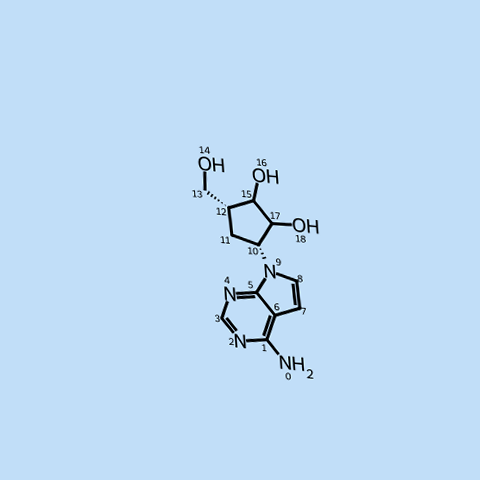 Nc1ncnc2c1ccn2[C@@H]1C[C@H](CO)C(O)C1O